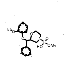 CCOc1ccccc1OC(c1ccccc1)C1CN(P(=O)(O)OC)CCO1